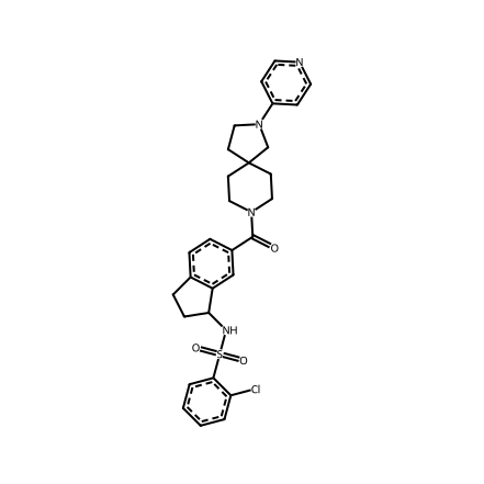 O=C(c1ccc2c(c1)C(NS(=O)(=O)c1ccccc1Cl)CC2)N1CCC2(CC1)CCN(c1ccncc1)C2